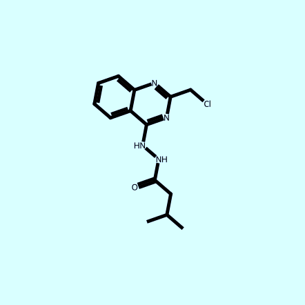 CC(C)CC(=O)NNc1nc(CCl)nc2ccccc12